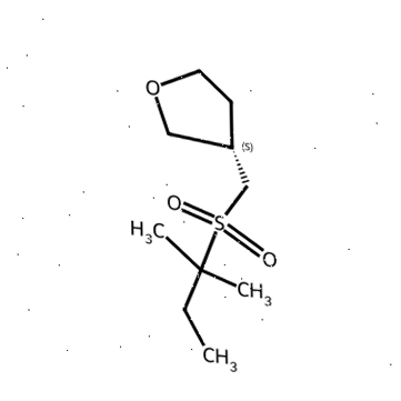 CCC(C)(C)S(=O)(=O)C[C@H]1CCOC1